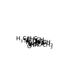 CS/C(C)=N/OC(=O)NCSN(P1OCC(C)(C)CO1)C(C)(C)C